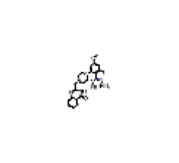 COc1cc(F)c(/C(N=N)=N/N)c(N2CCN(Cc3nc4ccccc4c(=O)[nH]3)CC2)c1